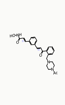 CC(=O)N1CCN(Cc2ccccc2C(=O)/C=C/c2cccc(/C=C/C(=O)NO)c2)CC1